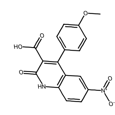 COc1ccc(-c2c(C(=O)O)c(=O)[nH]c3ccc([N+](=O)[O-])cc23)cc1